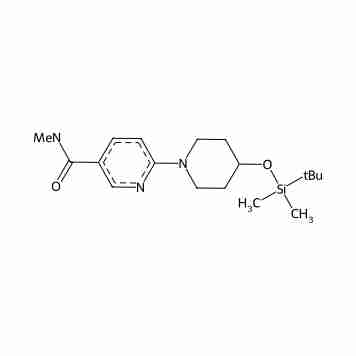 CNC(=O)c1ccc(N2CCC(O[Si](C)(C)C(C)(C)C)CC2)nc1